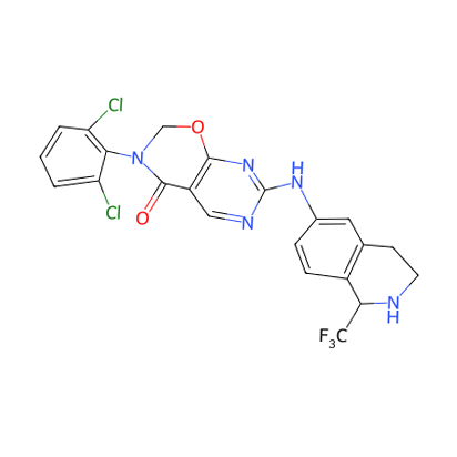 O=C1c2cnc(Nc3ccc4c(c3)CCNC4C(F)(F)F)nc2OCN1c1c(Cl)cccc1Cl